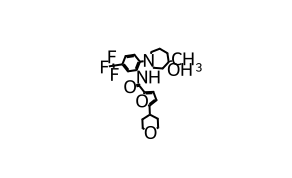 C[C@]1(O)CCCN(c2ccc(C(F)(F)F)cc2NC(=O)c2ccc(C3CCOCC3)o2)CC1